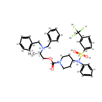 C[C@@H](COC(=O)N1CCC(N(c2ccccc2)S(=O)(=O)c2cccc(C(F)(F)F)c2)CC1)N(Cc1ccccc1)Cc1ccccc1